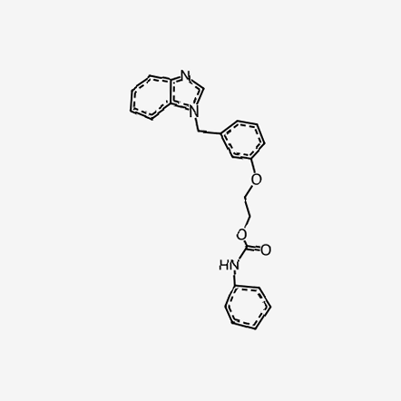 O=C(Nc1ccccc1)OCCOc1cccc(Cn2cnc3ccccc32)c1